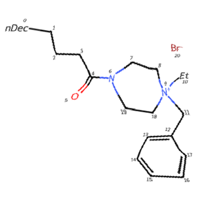 CCCCCCCCCCCCCC(=O)N1CC[N+](CC)(Cc2ccccc2)CC1.[Br-]